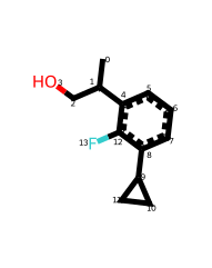 C[C](CO)c1cccc(C2CC2)c1F